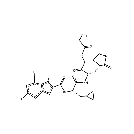 NCC(=O)OCC(=O)[C@H](C[C@@H]1CCNC1=O)NC(=O)[C@H](CC1CC1)NC(=O)c1cc2cc(F)cc(F)c2[nH]1